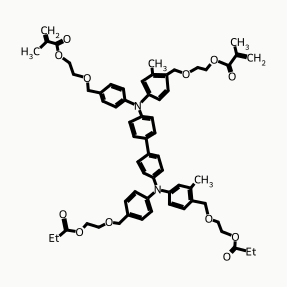 C=C(C)C(=O)OCCOCc1ccc(N(c2ccc(-c3ccc(N(c4ccc(COCCOC(=O)CC)cc4)c4ccc(COCCOC(=O)CC)c(C)c4)cc3)cc2)c2ccc(COCCOC(=O)C(=C)C)c(C)c2)cc1